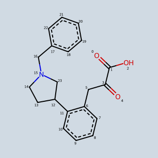 O=C(O)C(=O)Cc1ccccc1C1CCN(Cc2ccccc2)C1